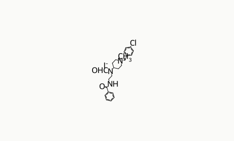 C[N+]1(Cc2ccc(Cl)cc2)CCC(N(C=O)CCNC(=O)c2ccccc2)CC1.[I-]